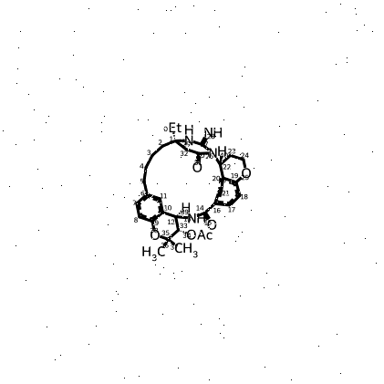 CC[C@]12CCCCc3ccc4c(c3)[C@@H](NC(=O)c3ccc5c(c3)[C@@H](CCO5)N(C(=N)N1)C(=O)C2)[C@H](OC(C)=O)C(C)(C)O4